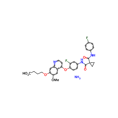 COc1cc2c(Oc3ccc(NC(=O)C4(C(=O)Nc5ccc(F)cc5)CC4)cc3F)ccnc2cc1OCCCC(=O)O.N